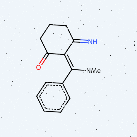 CN/C(=C1\C(=N)CCCC1=O)c1ccccc1